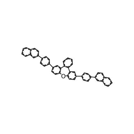 c1ccc2c(c1)-c1cc(-c3ccc(-c4ccc5ccccc5c4)cc3)ccc1Oc1ccc(-c3ccc(-c4ccc5ccccc5c4)cc3)cc1-2